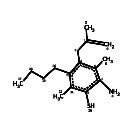 C=C(C)Cc1c(C)c(N)c(S)c(C)c1CCCC